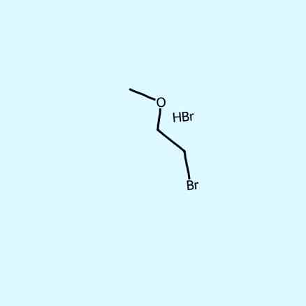 Br.COCCBr